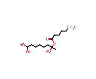 CC(O)(CCCCCC(O)O)OC(=O)CCCCC(=O)O